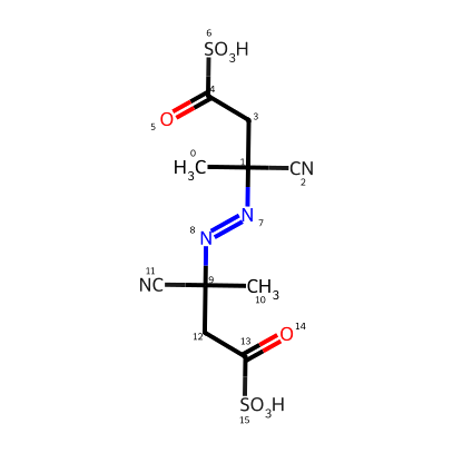 CC(C#N)(CC(=O)S(=O)(=O)O)N=NC(C)(C#N)CC(=O)S(=O)(=O)O